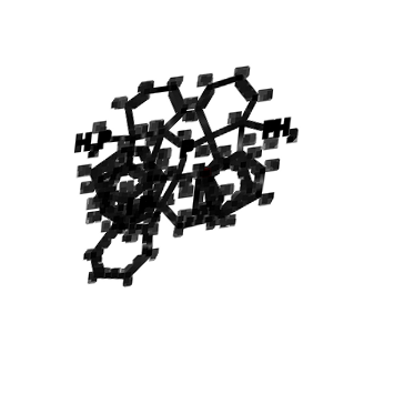 PC1(c2ccccc2)C=CC=CC1(c1ccccc1)P(C1(c2ccccc2)C=CC=CC1(P)c1ccccc1)C1(c2ccccc2)C=CC=CC1(P)c1ccccc1